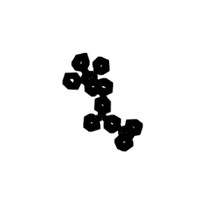 C1=CCCC(c2c(-c3ccccc3)n(-c3ccccc3)c3c2ccc2c(-c4ccc(N(c5ccccc5)c5ccc(-n6c7ccccc7c7ccccc76)cc5)cc4)cccc23)=C1